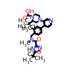 Cc1cc(-c2ccncc2N2CCN(C(=O)O)C(C(C)(C)C)C2)ccc1CN(C)C(=O)c1noc(C(C)(C)C)n1